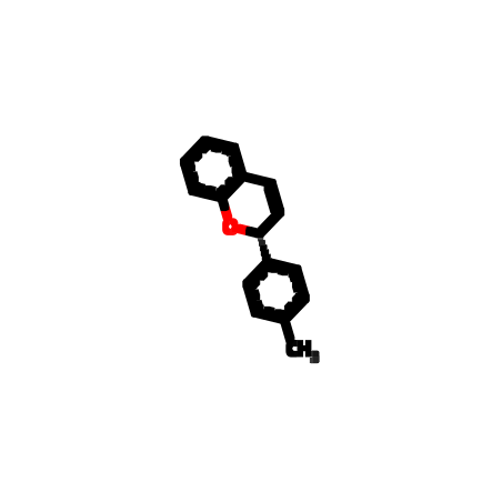 Cc1ccc([C@H]2C=Cc3ccccc3O2)cc1